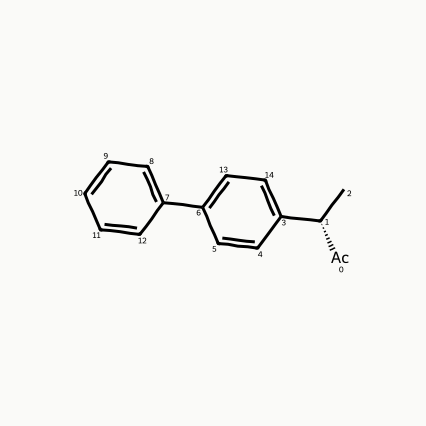 CC(=O)[C@@H](C)c1ccc(-c2ccccc2)cc1